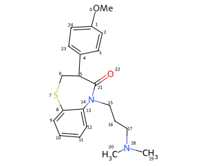 COc1ccc(C2CSc3ccccc3N(CCCN(C)C)C2=O)cc1